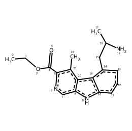 CCOC(=O)c1ncc2[nH]c3cccc(CC(C)N)c3c2c1C